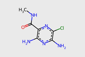 CNC(=O)c1nc(Cl)c(N)nc1N